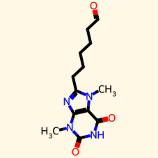 Cn1c(CCCCCC=O)nc2c1c(=O)[nH]c(=O)n2C